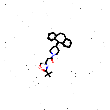 CC(C)(C)C(=O)N[C@@H](CO)CC(=O)N1CCC(=C2c3ccccc3CCc3ccccc32)CC1